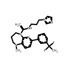 C=C(NCCCn1ccnc1)N1CCCN(C)c2ccc(-c3cccc(C(C)(F)F)c3)nc21